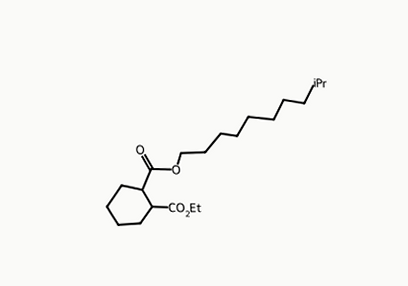 CCOC(=O)C1CCCCC1C(=O)OCCCCCCCCC(C)C